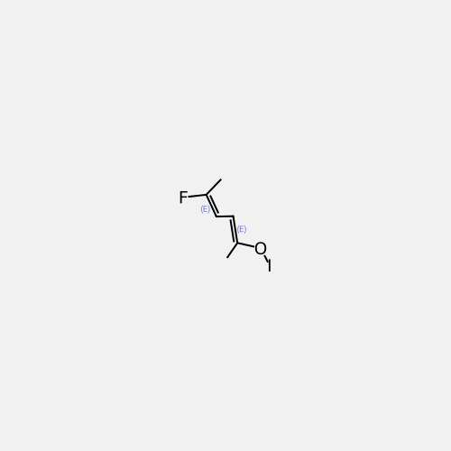 C/C(F)=C\C=C(/C)OI